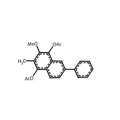 COc1c(C)c(OC(C)=O)c2ccc(-c3ccccc3)cc2c1OC(C)=O